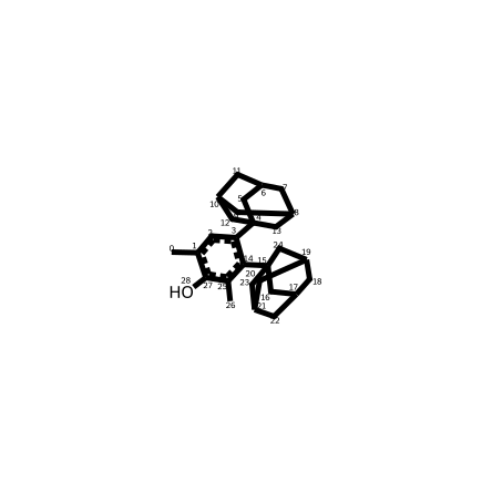 Cc1cc(C23CC4CC(CC(C4)C2)C3)c(C23CC4CC(CC(C4)C2)C3)c(C)c1O